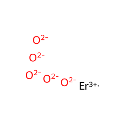 [Er+3].[O-2].[O-2].[O-2].[O-2].[O-2]